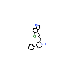 Clc1ccc2[nH]ccc2c1C=CCC1CC(c2ccccc2)=CCN1